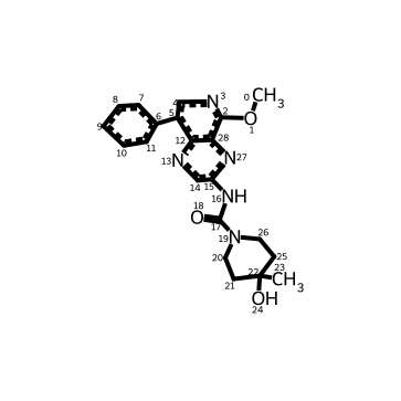 COc1ncc(-c2ccccc2)c2ncc(NC(=O)N3CCC(C)(O)CC3)nc12